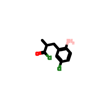 Bc1ccc(Cl)cc1CC(C)C(=O)Cl